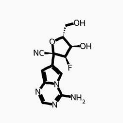 N#C[C@@]1(c2cc3ncnc(N)n3c2)O[C@H](CO)[C@@H](O)[C@H]1F